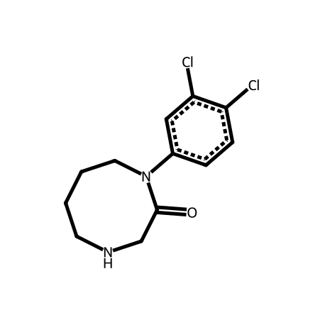 O=C1CNCCCCN1c1ccc(Cl)c(Cl)c1